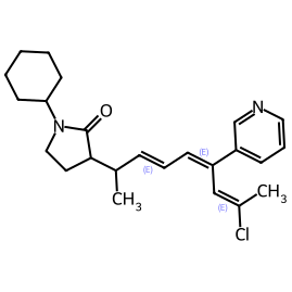 C\C(Cl)=C/C(=C\C=C\C(C)C1CCN(C2CCCCC2)C1=O)c1cccnc1